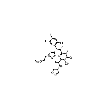 COCCn1cc([C@H](c2cc(F)c(F)cc2Cl)[C@H](C)c2nc(C(=O)Nc3cnoc3)c(O)c(=O)n2C)cn1